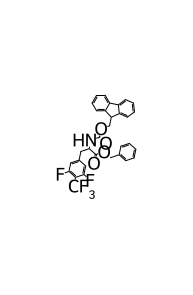 O=C(NC(Cc1cc(F)c(C(F)(F)F)c(F)c1)C(=O)OCc1ccccc1)OCC1c2ccccc2-c2ccccc21